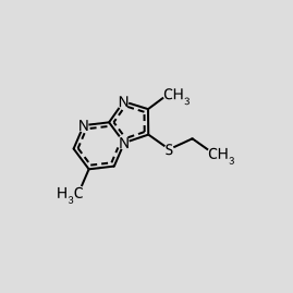 CCSc1c(C)nc2ncc(C)cn12